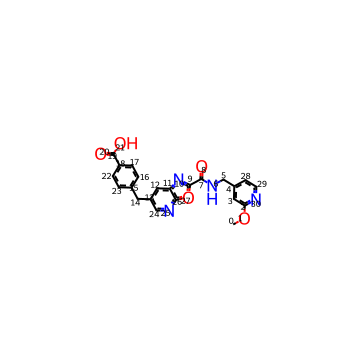 COc1cc(CNC(=O)c2nc3cc(Cc4ccc(C(=O)O)cc4)cnc3o2)ccn1